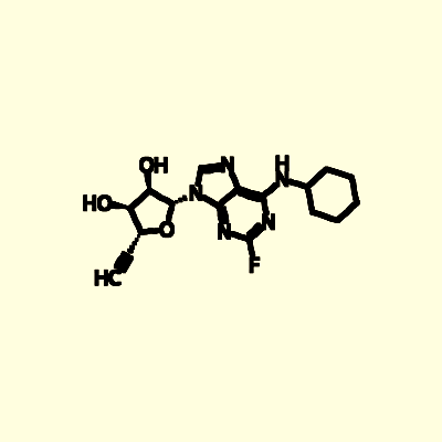 C#C[C@H]1O[C@@H](n2cnc3c(NC4CCCCC4)nc(F)nc32)[C@H](O)[C@@H]1O